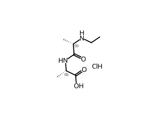 CCN[C@@H](C)C(=O)N[C@@H](C)C(=O)O.Cl